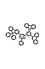 c1ccc(-c2nc(-c3cc(-c4cc5ccccc5c5ccccc45)cc(-n4c5ccccc5c5ccccc54)c3)cc(-c3ccc4c(c3)C(c3ccccc3)(c3ccccc3)c3ccccc3-4)n2)cc1